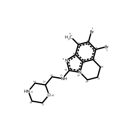 Cc1c(Br)c(Br)c2c3c1nc(NCC1CNCCO1)n3CCC2